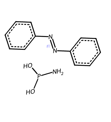 NP(O)O.c1ccc(/N=N/c2ccccc2)cc1